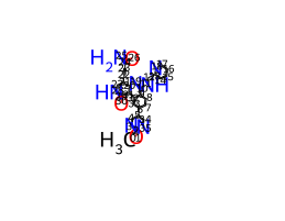 COc1ncc(-c2ccc3c(NCc4ccccn4)nc4c(C#CC(N)=O)c[nH]c(=O)c4c3c2)cn1